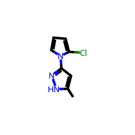 Cc1cc(-n2cccc2Cl)n[nH]1